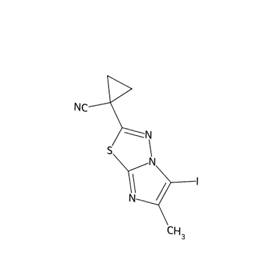 Cc1nc2sc(C3(C#N)CC3)nn2c1I